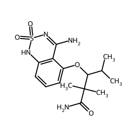 CC(C)C(Oc1cccc2c1C(N)=NS(=O)(=O)N2)C(C)(C)C(N)=O